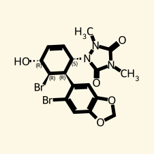 Cn1c(=O)n(C)n([C@H]2C=C[C@@H](O)[C@H](Br)[C@@H]2c2cc3c(cc2Br)OCO3)c1=O